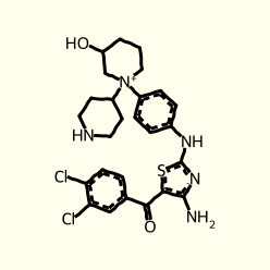 Nc1nc(Nc2ccc([N+]3(C4CCNCC4)CCCC(O)C3)cc2)sc1C(=O)c1ccc(Cl)c(Cl)c1